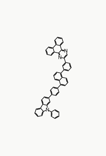 c1ccc(-n2c3ccccc3c3ccc(-c4ccc(-c5cccc6c(-c7cccc(-c8cnc9c%10ccccc%10c%10ccccc%10c9n8)c7)cccc56)cc4)cc32)cc1